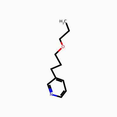 [CH2]CCOCCCc1cccnc1